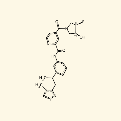 CC(Cc1nncn1C)c1cccc(NC(=O)c2cc(C(=O)N3C[C@@H](F)[C@@H](O)C3)ccn2)c1